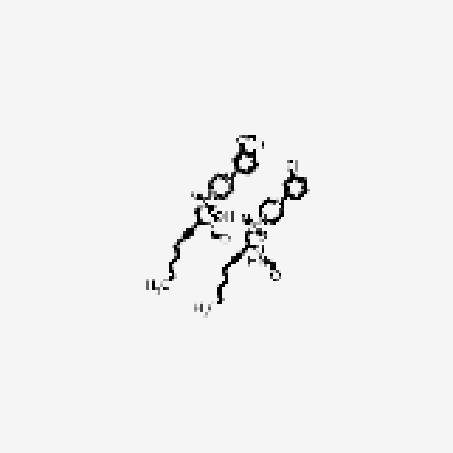 CCCCCC#CC(CS(=O)(=O)N1CCN(c2ccc3c(c2)OCO3)CC1)N(O)C=O.CCCCCC#CC(CS(=O)(=O)N1CCN(c2cccc(Cl)c2)CC1)ONC=O